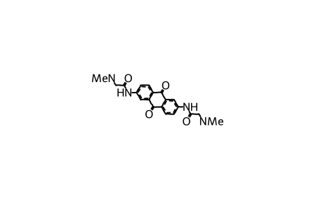 CNCC(=O)Nc1ccc2c(c1)C(=O)c1ccc(NC(=O)CNC)cc1C2=O